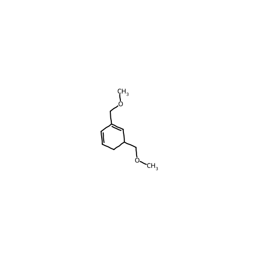 COCC1=CC(COC)CC=C1